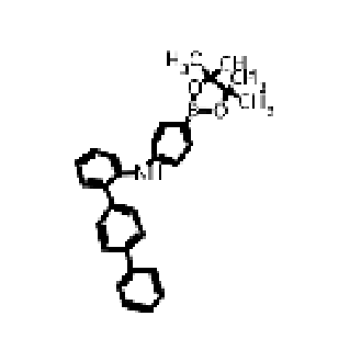 CC1(C)OB(c2ccc(Nc3ccccc3-c3ccc(-c4ccccc4)cc3)cc2)OC1(C)C